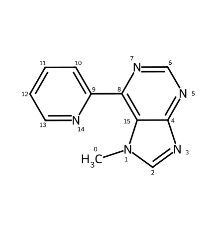 Cn1cnc2ncnc(-c3ccccn3)c21